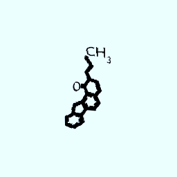 CCCCC1C=Cc2ccc3c(c2C1=O)Cc1ccccc1-3